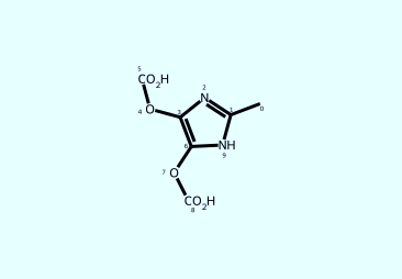 Cc1nc(OC(=O)O)c(OC(=O)O)[nH]1